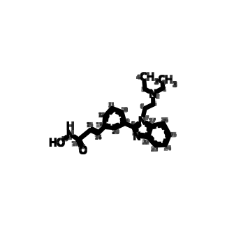 CCN(CC)CCn1c(-c2cccc(C=CC(=O)NO)c2)nc2ccccc21